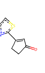 O=C1C=C(c2nccs2)CC1